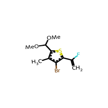 C=C(F)c1sc(C(OC)OC)c(C)c1Br